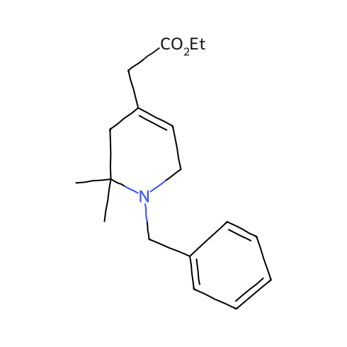 CCOC(=O)CC1=CCN(Cc2ccccc2)C(C)(C)C1